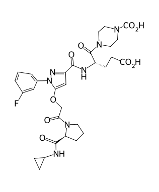 O=C(O)CC[C@H](NC(=O)c1cc(OCC(=O)N2CCC[C@H]2C(=O)NC2CC2)n(-c2cccc(F)c2)n1)C(=O)N1CCN(C(=O)O)CC1